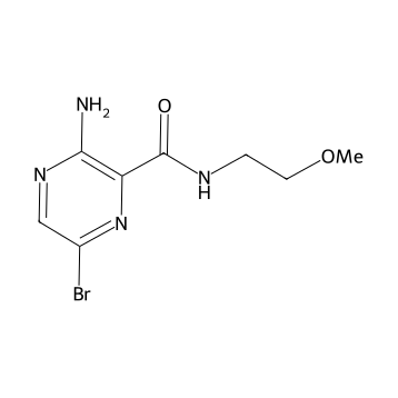 COCCNC(=O)c1nc(Br)cnc1N